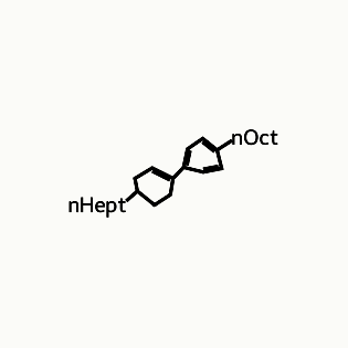 CCCCCCCCc1ccc(C2=CCC(CCCCCCC)CC2)cc1